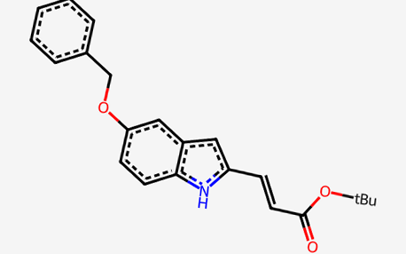 CC(C)(C)OC(=O)C=Cc1cc2cc(OCc3ccccc3)ccc2[nH]1